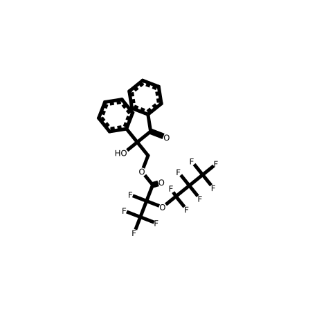 O=C(c1ccccc1)C(O)(COC(=O)C(F)(OC(F)(F)C(F)(F)C(F)(F)F)C(F)(F)F)c1ccccc1